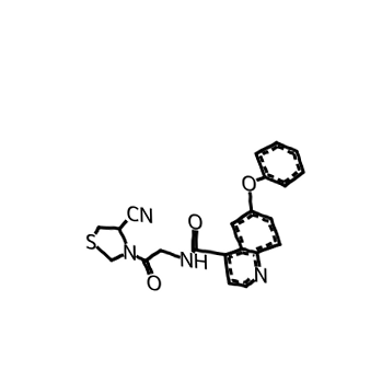 N#CC1CSCN1C(=O)CNC(=O)c1ccnc2ccc(Oc3ccccc3)cc12